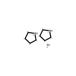 C1CCNC1.C1CCNC1.[Sn]